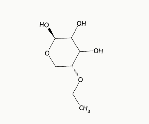 CCO[C@@H]1CO[C@@H](O)C(O)C1O